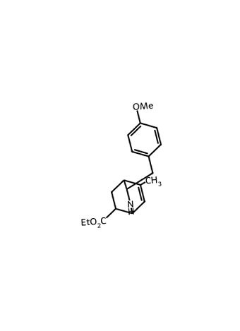 CCOC(=O)C1CC2C(C)=CC1NC2Cc1ccc(OC)cc1